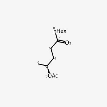 CCCCCCC(=O)CC[C@H](C)OC(C)=O